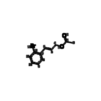 CC(=O)OCC=Cc1ccccc1Br